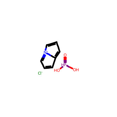 C1=CC2=CC=C[N+]2=C1.O=[PH](O)O.[Cl-]